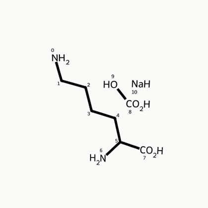 NCCCCC(N)C(=O)O.O=C(O)O.[NaH]